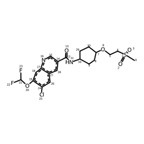 CS(=O)(=O)CCOC1CCC(NC(=O)c2cnc3cc(OC(F)F)c(Cl)cc3c2)CC1